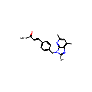 COC(=O)/C=C/c1ccc(Cn2c(C(C)C)nc3c(C)cc(C)nc32)cc1